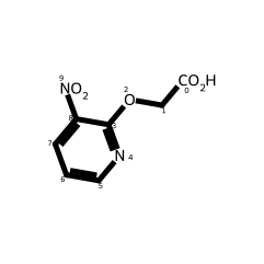 O=C(O)COc1ncccc1[N+](=O)[O-]